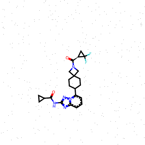 O=C(Nc1nc2cccc(C3CCC4(CC3)CN(C(=O)[C@H]3CC3(F)F)C4)n2n1)C1CC1